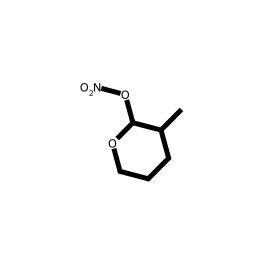 CC1CCCOC1O[N+](=O)[O-]